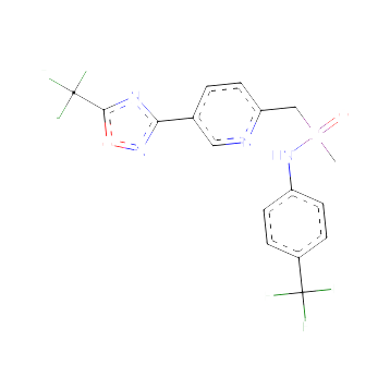 CP(=O)(Cc1ccc(-c2noc(C(F)(F)Cl)n2)cn1)Nc1ccc(C(F)(F)F)cc1